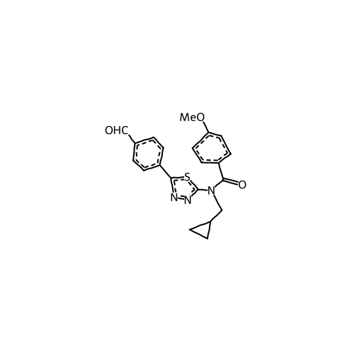 COc1ccc(C(=O)N(CC2CC2)c2nnc(-c3ccc(C=O)cc3)s2)cc1